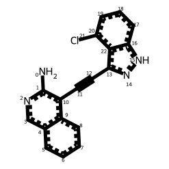 Nc1ncc2ccccc2c1C#Cc1n[nH]c2cccc(Cl)c12